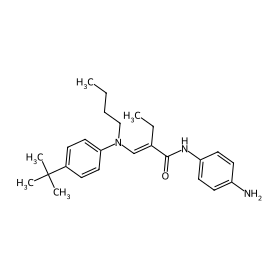 CCCCN(/C=C(\CC)C(=O)Nc1ccc(N)cc1)c1ccc(C(C)(C)C)cc1